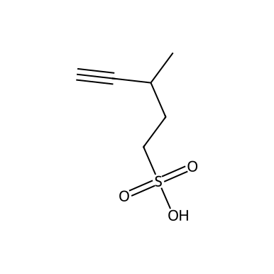 C#CC(C)CCS(=O)(=O)O